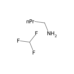 CCCCN.FC(F)F